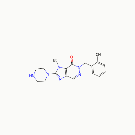 CCn1c(N2CCNCC2)nc2cnn(Cc3ccccc3C#N)c(=O)c21